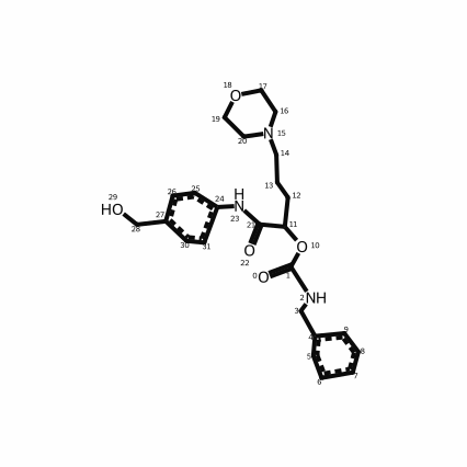 O=C(NCc1ccccc1)OC(CCCN1CCOCC1)C(=O)Nc1ccc(CO)cc1